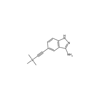 C[Si](C)(C)C#Cc1ccc2[nH]nc(N)c2c1